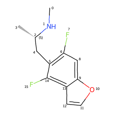 CN[C@@H](C)Cc1c(F)cc2occc2c1F